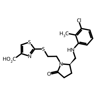 Cc1c(Cl)cccc1NC[C@H]1CCC(=O)N1CCSc1nc(C(=O)O)cs1